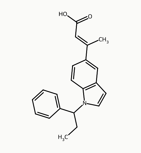 CCC(c1ccccc1)n1ccc2cc(/C(C)=C/C(=O)O)ccc21